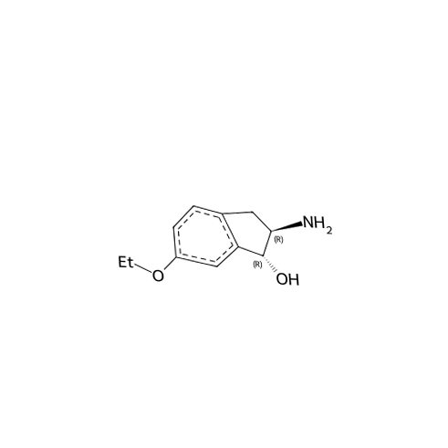 CCOc1ccc2c(c1)[C@@H](O)[C@H](N)C2